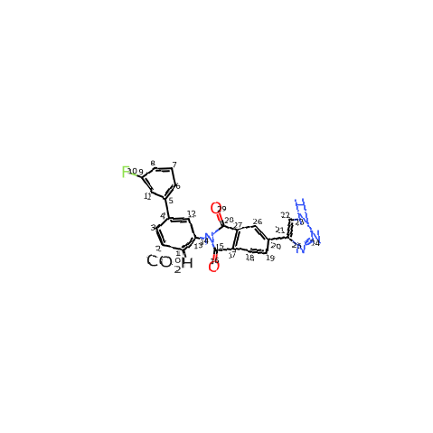 O=C(O)c1ccc(-c2cccc(F)c2)cc1N1C(=O)c2ccc(-c3c[nH]nn3)cc2C1=O